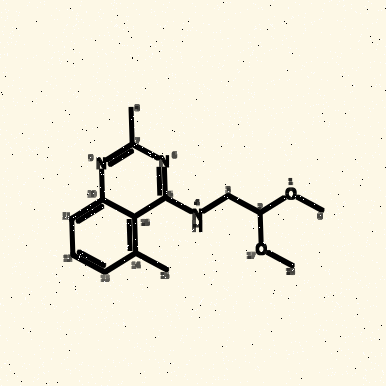 COC(CNc1nc(C)nc2cccc(C)c12)OC